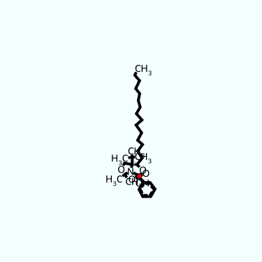 CCCCCCCCCCCCCCCC(OC(=O)c1ccccc1)[C@]1(C(C)(C)C)COC(C)(C)N1C(=O)O